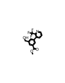 COC(=O)c1cc(CO)cc(-c2cccnc2C(F)(F)F)c1